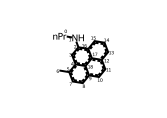 CCCNc1cc2c(C)ccc3ccc4cccc1c4c32